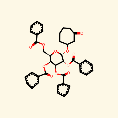 O=C1CCCCC(O[C@H]2O[C@H](COC(=O)c3ccccc3)[C@H](OC(=O)c3ccccc3)[C@H](OC(=O)c3ccccc3)[C@H]2OC(=O)c2ccccc2)C1